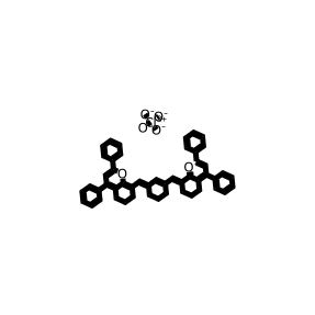 C1=C(C=C2CCCc3c(-c4ccccc4)cc(-c4ccccc4)[o+]c32)CCC/C1=C\C1=C2OC(c3ccccc3)=CC(c3ccccc3)=C2CCC1.[O-][Cl+3]([O-])([O-])[O-]